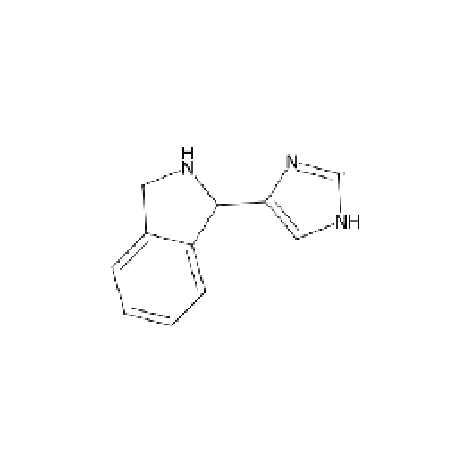 [c]1nc(C2NCc3ccccc32)c[nH]1